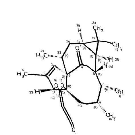 CC1=C[C@]23C(=O)[C@@H]([C@H](O)[C@H](C)C[C@@]24OC(=O)O[C@@H]14)[C@H]1[C@@H](C[C@H]3C)C1(C)C